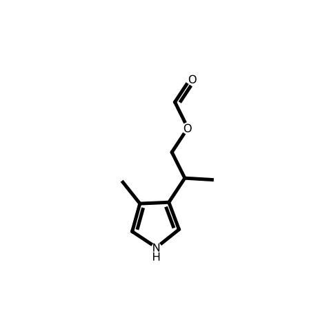 Cc1c[nH]cc1C(C)COC=O